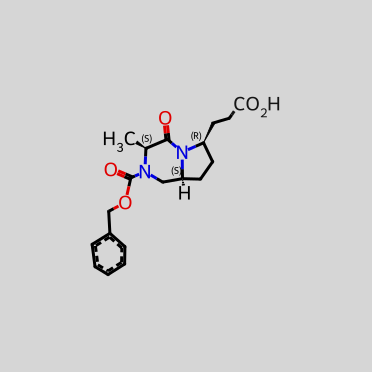 C[C@H]1C(=O)N2[C@@H](CCC(=O)O)CC[C@H]2CN1C(=O)OCc1ccccc1